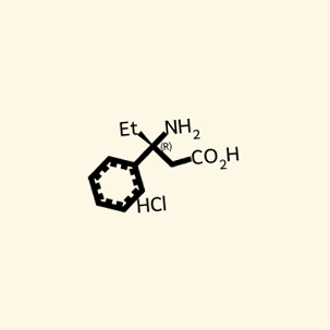 CC[C@@](N)(CC(=O)O)c1ccccc1.Cl